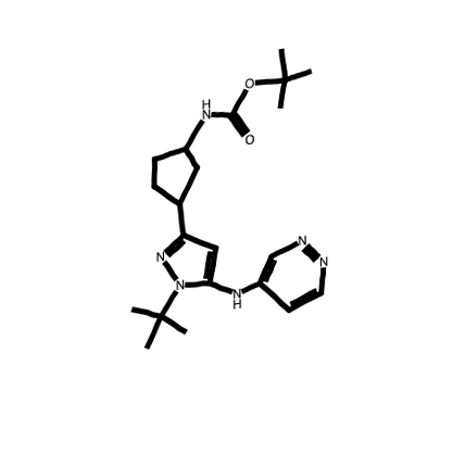 CC(C)(C)OC(=O)NC1CCC(c2cc(Nc3ccnnc3)n(C(C)(C)C)n2)C1